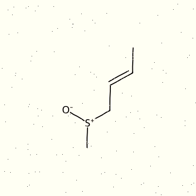 CC=CC[S+](C)[O-]